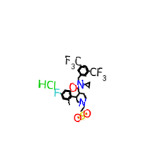 Cc1cc(F)ccc1C1CN(CCS(C)(=O)=O)CCC1C(=O)N(Cc1cc(C(F)(F)F)cc(C(F)(F)F)c1)C1CC1.Cl